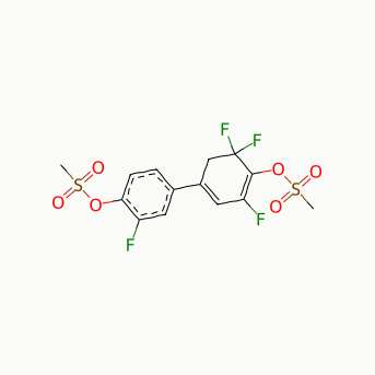 CS(=O)(=O)OC1=C(F)C=C(c2ccc(OS(C)(=O)=O)c(F)c2)CC1(F)F